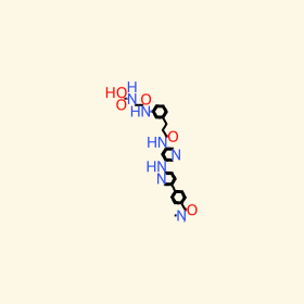 CN(C)C(=O)c1ccc(-c2ccc(Nc3cncc(NC(=O)CCc4cccc(NC(=O)CNC(=O)O)c4)c3)nc2)cc1